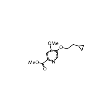 COC(=O)c1cc(OC)c(OCCC2CC2)cn1